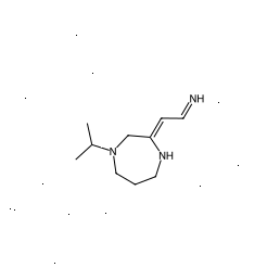 CC(C)N1CCCN/C(=C\C=N)C1